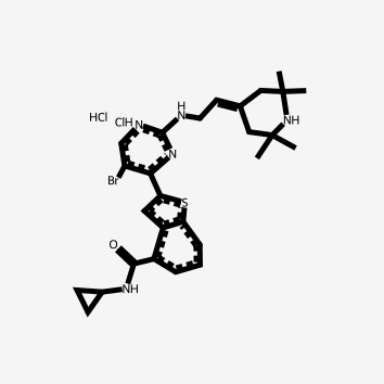 CC1(C)CC(=CCNc2ncc(Br)c(-c3cc4c(C(=O)NC5CC5)cccc4s3)n2)CC(C)(C)N1.Cl.Cl